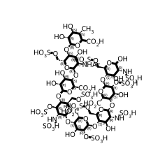 CC(=O)N[C@H]1[C@@H](O[C@H]2[C@H](O)[C@@H](O)C(O[C@H]3[C@H](OS(=O)(=O)O)[C@@H](NS(=O)(=O)O)[C@@H](O[C@H]4[C@H](O)[C@@H](OS(=O)(=O)O)[C@H](O[C@H]5[C@H](O)[C@@H](NS(=O)(=O)O)[C@@H](O[C@H]6[C@H](O)[C@@H](OS(=O)(=O)O)[C@H](O[C@H]7[C@H](O)[C@@H](NS(=O)(=O)O)C(O)O[C@@H]7COS(=O)(=O)O)O[C@H]6C(=O)O)O[C@@H]5COS(=O)(=O)O)O[C@H]4C(=O)O)O[C@@H]3COS(=O)(=O)O)O[C@@H]2C(=O)O)O[C@H](COS(=O)(=O)O)[C@@H](O[C@@H]2OC(C(=O)O)[C@@H](C)[C@H](O)[C@H]2O)[C@@H]1O